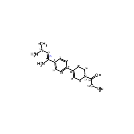 CN(N)/C=C(\N)c1ccc(C2=CCN(C(=O)OC(C)(C)C)CC2)cc1